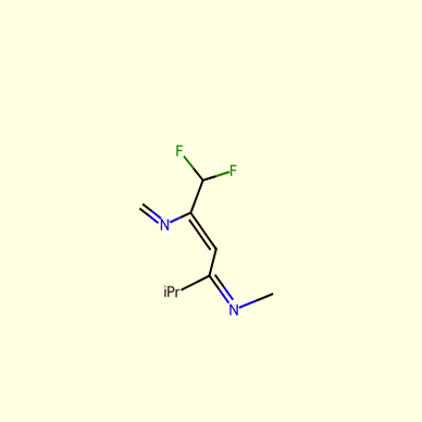 C=N/C(=C\C(=N/C)C(C)C)C(F)F